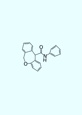 O=C(Nc1ccccc1)C1c2ccccc2COc2ccccc21